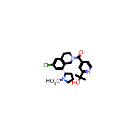 CC(C)(O)c1cc(C(=O)N2CCc3cc(Cl)cc([C@@H]4CCCN4C(=O)O)c3C2)ccn1